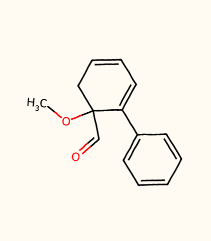 COC1(C=O)CC=CC=C1c1ccccc1